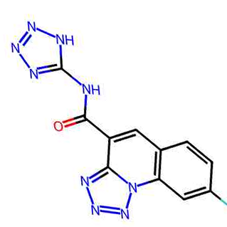 O=C(Nc1nnn[nH]1)c1cc2ccc(F)cc2n2nnnc12